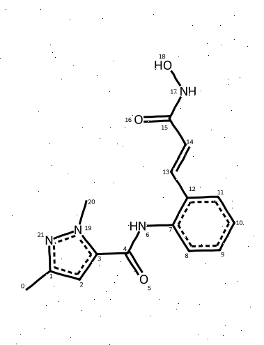 Cc1cc(C(=O)Nc2ccccc2C=CC(=O)NO)n(C)n1